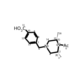 CC(=O)N1[C@H](C)CN(Cc2ccc(C(=O)O)cc2)C[C@@H]1C